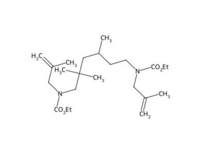 C=C(C)CN(CCC(C)CC(C)(C)CN(CC(=C)C)C(=O)OCC)C(=O)OCC